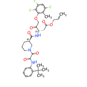 C=CCOC(=O)C[C@H](NC(=O)[C@@H]1CCCN(C(=O)C(=O)Nc2ccccc2C(C)(C)C)C1)C(=O)COc1c(C)c(F)cc(F)c1F